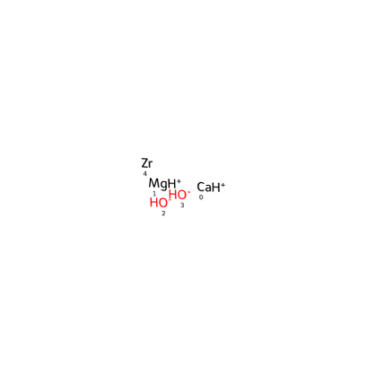 [CaH+].[MgH+].[OH-].[OH-].[Zr]